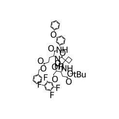 CC(C)(C)OC(=O)CC(NC(=O)C1(C(=O)NC(CCC(=O)OCc2ccccc2)C(=O)Nc2cccc(Oc3ccccc3)c2)CCC1)C(O)COc1c(F)c(F)cc(F)c1F